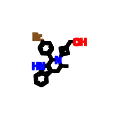 CC1Cc2c([nH]c3ccccc23)C(c2ccc(Br)cc2)N1C12CC(CO)(C1)C2